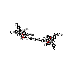 COc1ccc(C2=N[C@@H](c3ccc(Cl)cc3)[C@@H](c3ccc(Cl)cc3)N2C(=O)N2CCN(CC(=O)OCCOCCOCCOCCOC(=O)CN3CCN(C(=O)N4C(c5ccc(OC)cc5OC(C)C)=N[C@@H](c5ccc(Cl)cc5)[C@H]4c4ccc(Cl)cc4)CC3=O)C(=O)C2)c(OC(C)C)c1